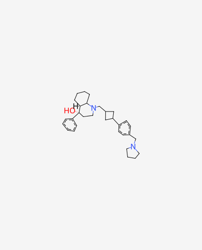 O[C@@]1(c2ccccc2)CCN(CC2CC(c3ccc(CN4CCCC4)cc3)C2)C2CCCC[C@@H]21